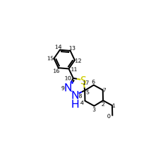 CCC1CCC2(CC1)NN=C(c1ccccc1)S2